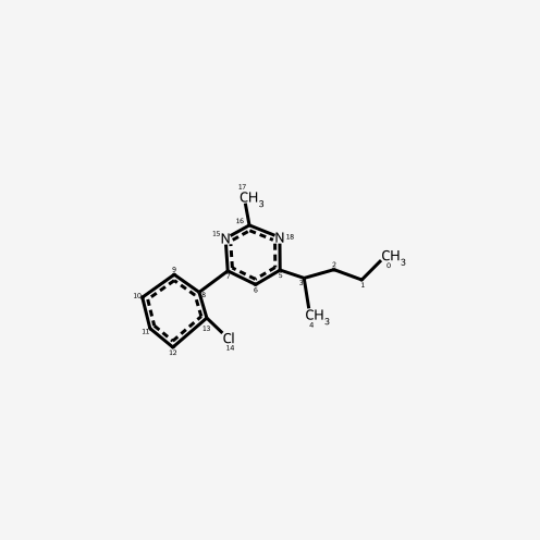 CCCC(C)c1cc(-c2ccccc2Cl)nc(C)n1